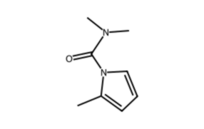 Cc1cccn1C(=O)N(C)C